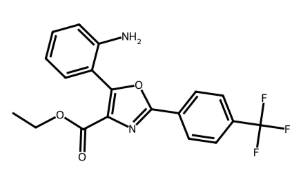 CCOC(=O)c1nc(-c2ccc(C(F)(F)F)cc2)oc1-c1ccccc1N